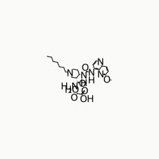 CCCCCCCN1CC[C@H](NC(=O)Nc2ccnc3ccc(OC)nc23)[C@H](C(N)=O)C1.O=C(O)C(=O)O